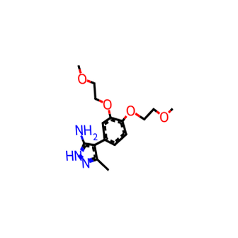 COCCOc1ccc(-c2c(C)n[nH]c2N)cc1OCCOC